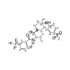 CC(C)C(NC(=O)c1cc(C(F)(F)F)ccc1F)C(=O)N1CCC(C)(Nc2ccc(S(C)(=O)=O)cc2)CC1